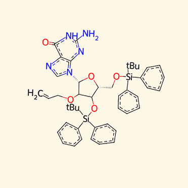 C=CCOC1C(O[Si](c2ccccc2)(c2ccccc2)C(C)(C)C)[C@@H](CO[Si](c2ccccc2)(c2ccccc2)C(C)(C)C)O[C@H]1n1cnc2c(=O)[nH]c(N)nc21